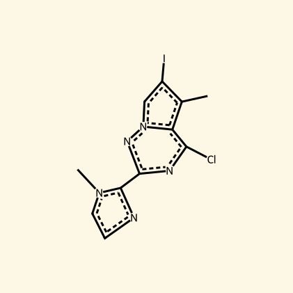 Cc1c(I)cn2nc(-c3nccn3C)nc(Cl)c12